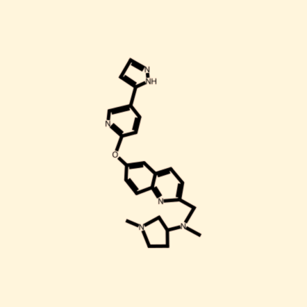 CN1CCC(N(C)Cc2ccc3cc(Oc4ccc(-c5ccn[nH]5)cn4)ccc3n2)C1